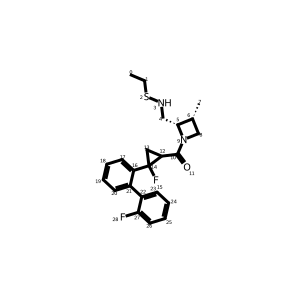 CCSNC[C@@H]1[C@H](C)CN1C(=O)C1CC1(F)c1ccccc1-c1ccccc1F